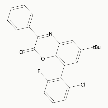 CC(C)(C)c1cc(-c2c(F)cccc2Cl)c2oc(=O)c(-c3ccccc3)nc2c1